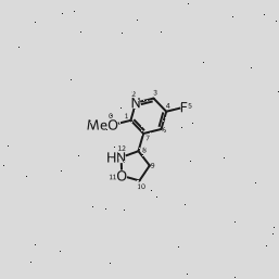 COc1ncc(F)cc1C1CCON1